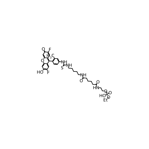 CCOP(=O)(O)OCCNC(=O)CCCCC(=O)NCCCCCNC(=S)Nc1ccc(-c2c3cc(F)c(=O)cc-3oc3cc(O)c(F)cc23)c(C)c1